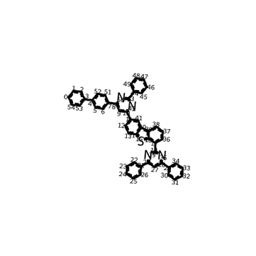 c1ccc(-c2ccc(-c3cc(-c4ccc5sc6c(-c7nc(-c8ccccc8)cc(-c8ccccc8)n7)cccc6c5c4)nc(-c4ccccc4)n3)cc2)cc1